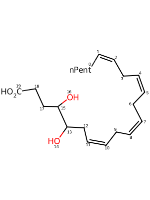 CCCCC/C=C\C/C=C\C/C=C\C/C=C\CC(O)C(O)CCC(=O)O